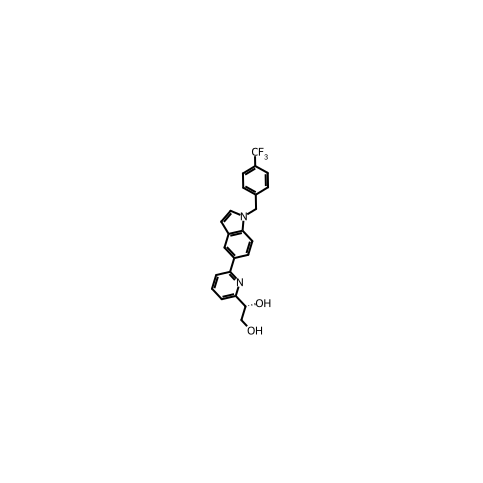 OC[C@@H](O)c1cccc(-c2ccc3c(ccn3Cc3ccc(C(F)(F)F)cc3)c2)n1